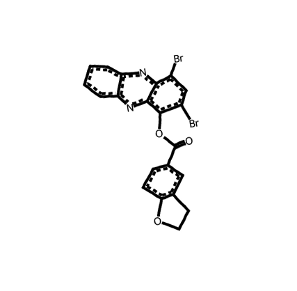 O=C(Oc1c(Br)cc(Br)c2nc3ccccc3nc12)c1ccc2c(c1)CCO2